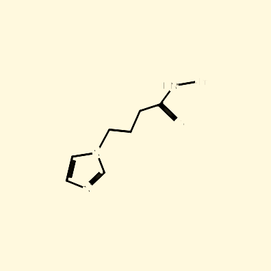 CC(C)NC(=O)CCCn1c[c]nc1